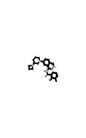 Cc1cccc([C@@H](C)Nc2nncc3ccc(N4CCCC(N5CCC5)C4)cc23)c1C